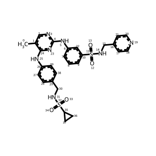 Cc1cnc(Nc2cccc(S(=O)(=O)NCc3ccncc3)c2)nc1Nc1ccc(CNS(=O)(=O)C2CC2)cc1